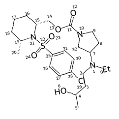 CCN(CCC(C)O)C1CCN(C(=O)OC[C@H]2CCC[C@@H](C)N2S(=O)(=O)c2ccc(Cl)cc2)C1